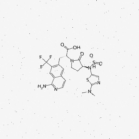 CN(C)c1ncc(N([C@H]2CCN([C@H](Cc3cc4ccnc(N)c4cc3C(F)(F)F)C(=O)O)C2=O)[SH](=O)=O)s1